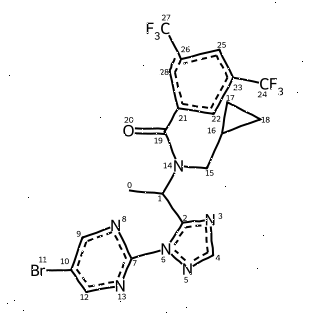 CC(c1ncnn1-c1ncc(Br)cn1)N(CC1CC1)C(=O)c1cc(C(F)(F)F)cc(C(F)(F)F)c1